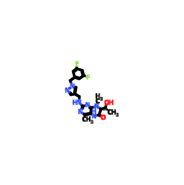 Cc1nc(NCc2cnn(Cc3cc(F)cc(F)c3)c2)nc2c1NC(=O)C([C@@H](C)O)N2C